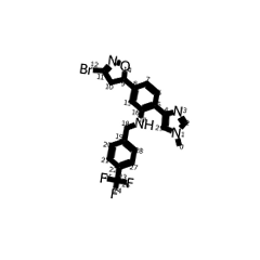 Cn1cnc(-c2ccc(C3CC(Br)=NO3)cc2NCc2ccc(C(F)(F)F)cc2)c1